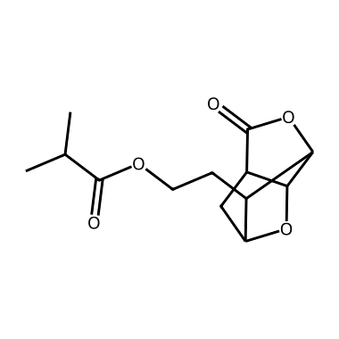 CC(C)C(=O)OCCC1C2CC3C(=O)OC1C3O2